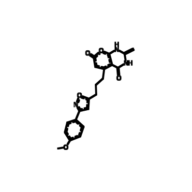 C=C1NC(=O)c2c(CCCc3cc(-c4ccc(OC)cc4)no3)cc(=O)oc2N1